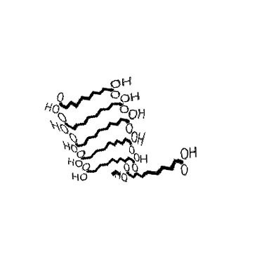 C=CC.O=C(O)CCCCCCCCC(=O)O.O=C(O)CCCCCCCCC(=O)O.O=C(O)CCCCCCCCC(=O)O.O=C(O)CCCCCCCCC(=O)O.O=C(O)CCCCCCCCC(=O)O.O=C(O)CCCCCCCCC(=O)O